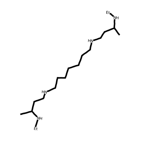 CCNC(C)CCNCCCCCCCNCCC(C)NCC